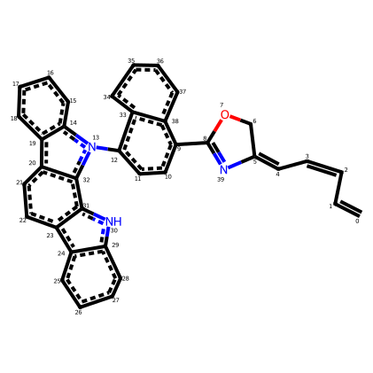 C=C/C=C\C=C1/COC(c2ccc(-n3c4ccccc4c4ccc5c6ccccc6[nH]c5c43)c3ccccc23)=N1